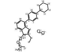 CCC1=Cc2c(-c3ccc(C4CCCCC4)cc3)cccc2[CH]1[Zr+2][O][SiH](C)C.[Cl-].[Cl-]